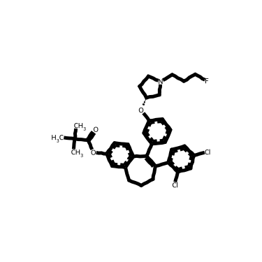 CC(C)(C)C(=O)Oc1ccc2c(c1)CCCC(c1ccc(Cl)cc1Cl)=C2c1cccc(O[C@@H]2CCN(CCCF)C2)c1